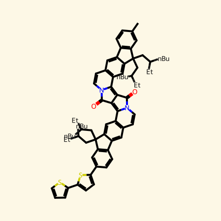 CCCCC(CC)CC1(CC(CC)CCCC)c2cc(C)ccc2-c2cc3c(cc21)C1=C2C(=O)N4C=Cc5cc6c(cc5C4=C2C(=O)N1C=C3)C(CC(CC)CCCC)(CC(CC)CCCC)c1cc(-c2ccc(-c3cccs3)s2)ccc1-6